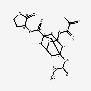 C=C(C)C(=O)OC12CC3CC(OC(C)OCC)(C1)CC(C(=O)OC1CCOC1=O)(C3)C2